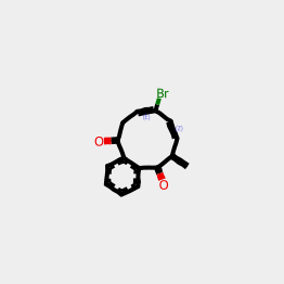 C=C1/C=C\C(Br)=C/CC(=O)c2ccccc2C1=O